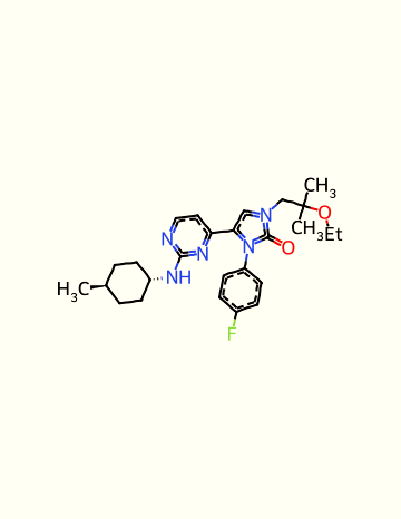 CCOC(C)(C)Cn1cc(-c2ccnc(N[C@H]3CC[C@H](C)CC3)n2)n(-c2ccc(F)cc2)c1=O